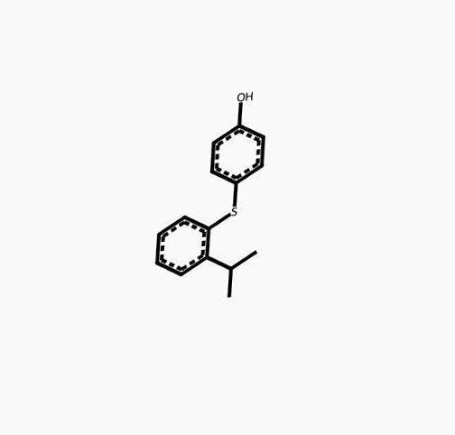 CC(C)c1ccccc1Sc1ccc(O)cc1